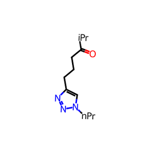 CCCn1cc(CCCC(=O)C(C)C)nn1